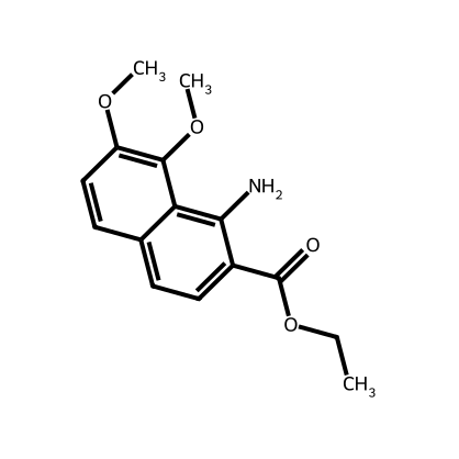 CCOC(=O)c1ccc2ccc(OC)c(OC)c2c1N